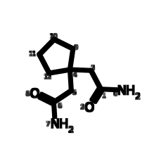 NC(=O)CC1(CC(N)=O)CCCC1